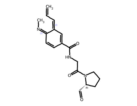 C=C/C=C1/C=C(C(=O)NCC(=O)N2CCC[C@@H]2C=O)C=C/C1=N/C